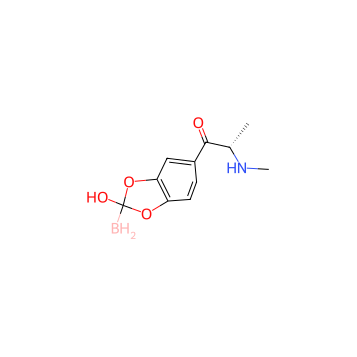 BC1(O)Oc2ccc(C(=O)[C@H](C)NC)cc2O1